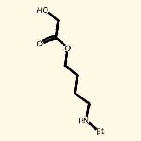 CCNCCCCOC(=O)CO